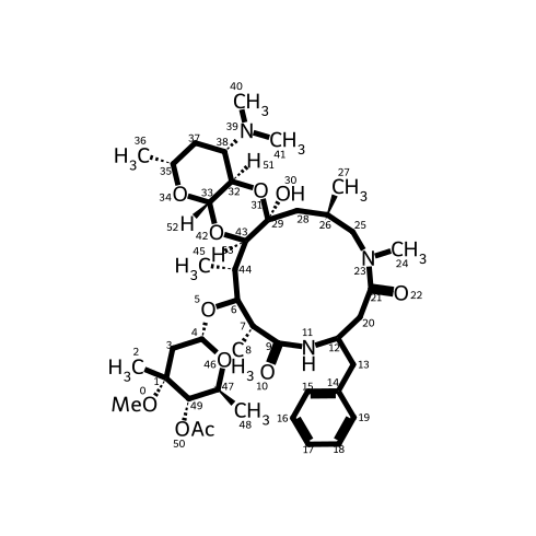 CO[C@]1(C)C[C@H](OC2[C@@H](C)C(=O)NC(Cc3ccccc3)CC(=O)N(C)C[C@H](C)C[C@]3(O)O[C@H]4[C@@H](O[C@H](C)C[C@@H]4N(C)C)O[C@@H]3[C@H]2C)O[C@@H](C)[C@@H]1OC(C)=O